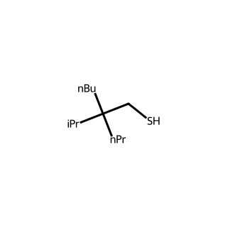 CCCCC(CS)(CCC)C(C)C